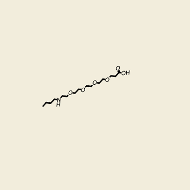 CCCCNCCOCCOCCOCCOCCC(=O)O